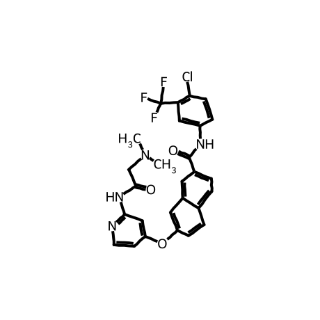 CN(C)CC(=O)Nc1cc(Oc2ccc3ccc(C(=O)Nc4ccc(Cl)c(C(F)(F)F)c4)cc3c2)ccn1